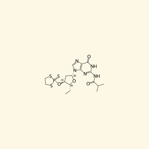 CC[C@H]1O[C@@H](n2cnc3c(=O)[nH]c(NC(=O)C(C)C)nc32)C[C@@H]1OP1(=S)SCCS1